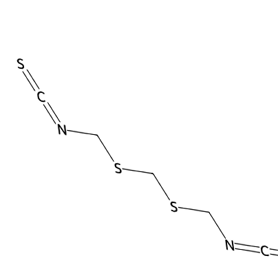 S=C=NCSCSCN=C=S